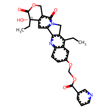 CCc1c2c(nc3ccc(OCOC(=O)c4cccnc4)cc13)-c1cc3c(c(=O)n1C2)COC(=O)[C@]3(O)CC